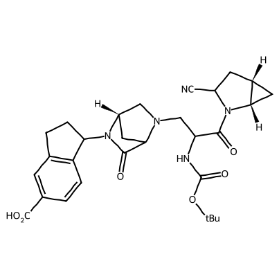 CC(C)(C)OC(=O)NC(CN1C[C@@H]2CC1C(=O)N2C1CCc2cc(C(=O)O)ccc21)C(=O)N1C(C#N)C[C@@H]2C[C@@H]21